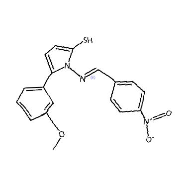 COc1cccc(-c2ccc(S)n2/N=C/c2ccc([N+](=O)[O-])cc2)c1